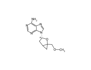 COCC12CC1C[C@H](n1cnc3c(N)ncnc31)O2